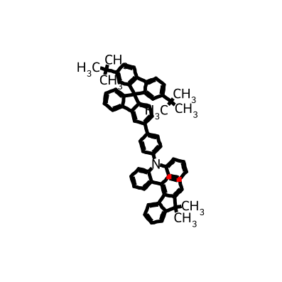 CC(C)(C)c1ccc2c(c1)C1(c3ccccc3-c3cc(-c4ccc(N(c5ccccc5)c5ccccc5-c5cccc6c5-c5ccccc5C6(C)C)cc4)ccc31)c1cc(C(C)(C)C)ccc1-2